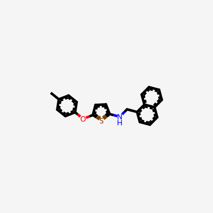 Cc1ccc(Oc2ccc(NCc3cccc4ccccc34)s2)cc1